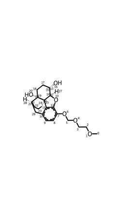 COCCOCOc1ccc2c3c1O[C@@H]1[C@@H](O)CC[C@]4(O)[C@@H](CCC[C@@]314)C2